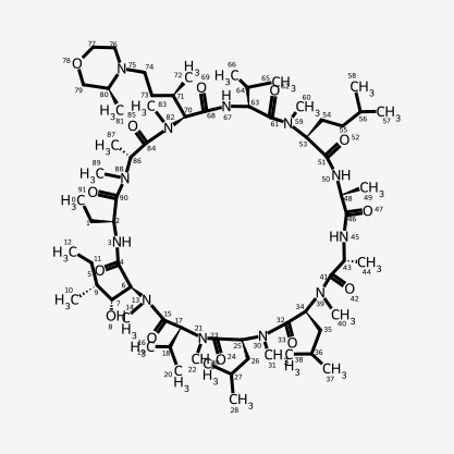 CC[C@@H]1NC(=O)[C@H]([C@H](O)[C@H](C)CC)N(C)C(=O)[C@H](C(C)C)N(C)C(=O)[C@H](CC(C)C)N(C)C(=O)[C@H](CC(C)C)N(C)C(=O)[C@@H](C)NC(=O)[C@H](C)NC(=O)[C@H](CCC(C)C)N(C)C(=O)[C@H](C(C)C)NC(=O)[C@H]([C@H](C)CCN2CCOC[C@@H]2C)N(C)C(=O)[C@@H](C)N(C)C1=O